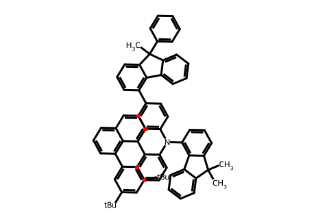 CC(C)(C)c1cc(-c2cccc3cccc(-c4ccccc4N(c4ccc(-c5cccc6c5-c5ccccc5C6(C)c5ccccc5)cc4)c4cccc5c4-c4ccccc4C5(C)C)c23)cc(C(C)(C)C)c1